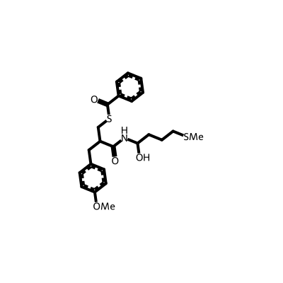 COc1ccc(CC(CSC(=O)c2ccccc2)C(=O)NC(O)CCCSC)cc1